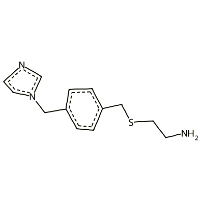 NCCSCc1ccc(Cn2ccnc2)cc1